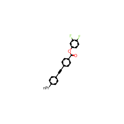 CCCc1ccc(C#Cc2ccc(C(=O)Oc3ccc(F)c(F)c3)cc2)cc1